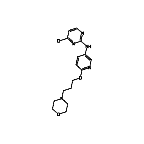 Clc1ccnc(Nc2ccc(OCCCN3CCOCC3)nc2)n1